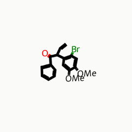 C=CC(C(=O)c1ccccc1)c1cc(OC)c(OC)cc1Br